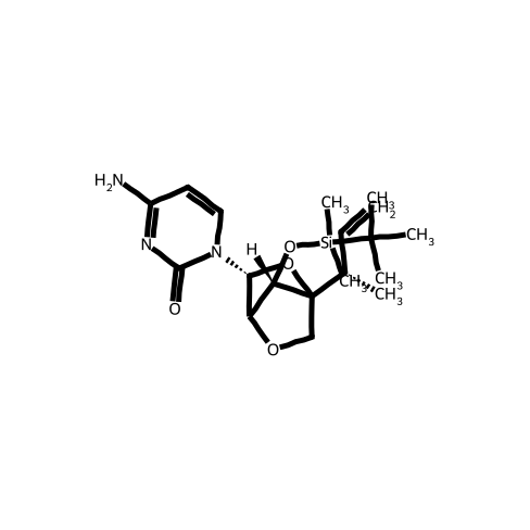 C=C[C@H](C)C12COC([C@H](n3ccc(N)nc3=O)O1)[C@@H]2O[Si](C)(C)C(C)(C)C